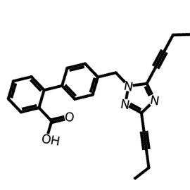 CCC#Cc1nc(C#CCC)n(Cc2ccc(-c3ccccc3C(=O)O)cc2)n1